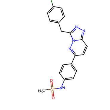 CS(=O)(=O)Nc1ccc(-c2ccc3nnc(Cc4ccc(Cl)cc4)n3n2)cc1